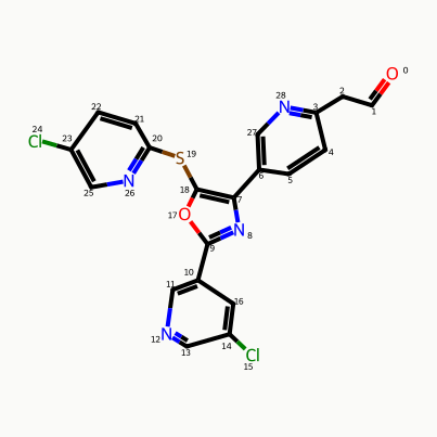 O=CCc1ccc(-c2nc(-c3cncc(Cl)c3)oc2Sc2ccc(Cl)cn2)cn1